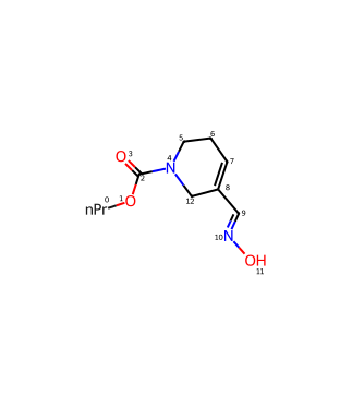 CCCOC(=O)N1CCC=C(C=NO)C1